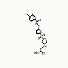 CCCCC(CC)CNC1CCN(S(=O)(=O)c2ccc(CNC(=O)c3ccc(Cl)cc3)s2)C1